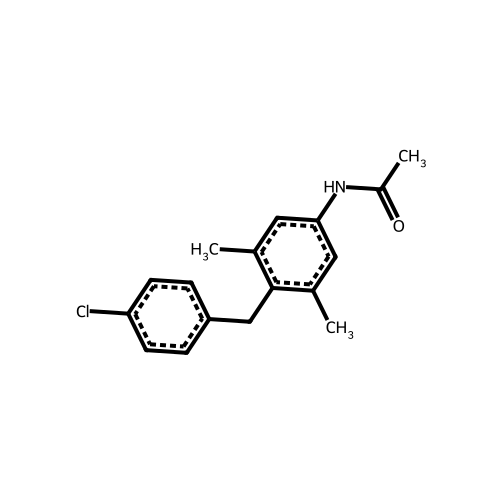 CC(=O)Nc1cc(C)c(Cc2ccc(Cl)cc2)c(C)c1